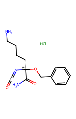 Cl.NCCCC[C@](N=C=O)(OCc1ccccc1)C(N)=O